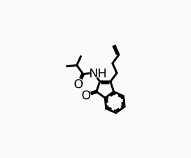 C=CCCC1=C(NC(=O)C(C)C)C(=O)c2ccccc21